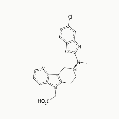 CN(c1nc2cc(Cl)ccc2o1)[C@H]1CCc2c(c3ncccc3n2CC(=O)O)C1